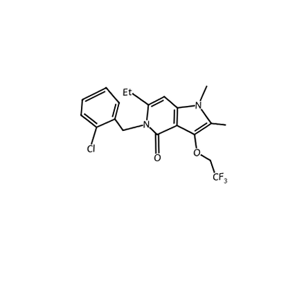 CCc1cc2c(c(OCC(F)(F)F)c(C)n2C)c(=O)n1Cc1ccccc1Cl